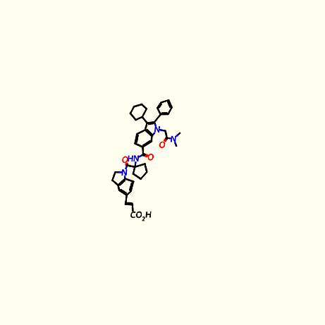 CN(C)C(=O)Cn1c(-c2ccccc2)c(C2CCCCC2)c2ccc(C(=O)NC3(C(=O)N4CCc5cc(C=CC(=O)O)ccc54)CCCC3)cc21